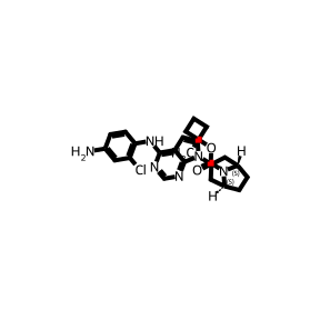 CC1(OC(=O)N2[C@H]3CC[C@H]2CC(n2ccc4c(Nc5ccc(N)cc5Cl)ncnc42)C3)CCC1